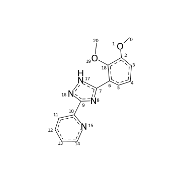 COc1cccc(-c2nc(-c3ccccn3)n[nH]2)c1OC